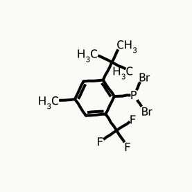 Cc1cc(C(C)(C)C)c(P(Br)Br)c(C(F)(F)F)c1